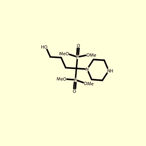 COP(=O)(OC)C(CCCO)(N1CCNCC1)P(=O)(OC)OC